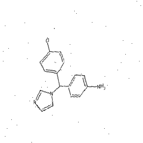 Nc1ccc(C(c2ccc(Cl)cc2)n2ccnc2)cc1